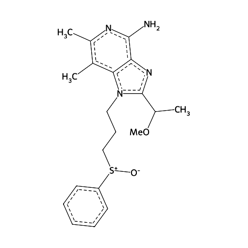 COC(C)c1nc2c(N)nc(C)c(C)c2n1CCC[S+]([O-])c1ccccc1